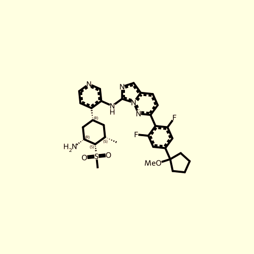 COC1(c2cc(F)c(-c3ccc4cnc(Nc5cnccc5[C@H]5C[C@@H](N)[C@@H](S(C)(=O)=O)[C@@H](C)C5)n4n3)c(F)c2)CCCC1